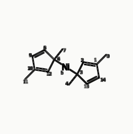 CC1=C[C](C)([Ni][C]2(C)C=CC(C)=C2)C=C1